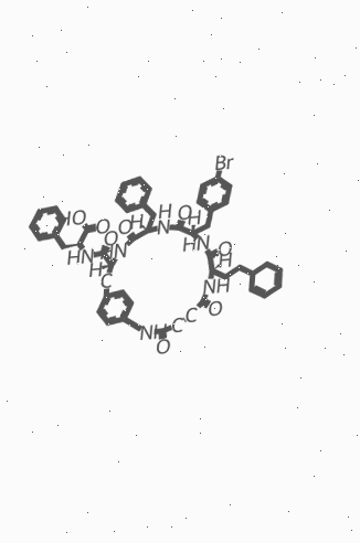 O=C1CCC(=O)N[C@H](CCC2C=CC=CC2)C(=O)N[C@@H](Cc2ccc(Br)cc2)C(=O)N[C@H](Cc2ccccc2)C(=O)N[C@@H](C(=O)N[C@@H](Cc2ccccc2)C(=O)O)Cc2ccc(cc2)N1